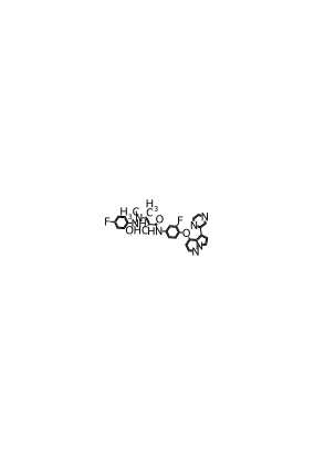 C/C(=C(/C=O)C(=O)Nc1ccc(Oc2ccnn3ccc(-c4cnccn4)c23)c(F)c1)N(C)Nc1ccc(F)cc1